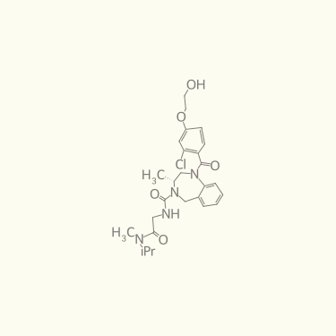 CC(C)N(C)C(=O)CNC(=O)N1Cc2ccccc2N(C(=O)c2ccc(OCCO)cc2Cl)C[C@H]1C